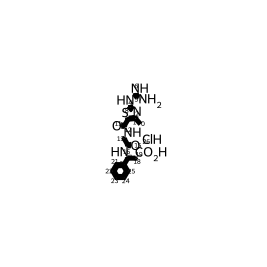 Cc1nc(NC(=N)N)sc1C(=O)NCC(=O)NC(CC(=O)O)c1ccccc1.Cl